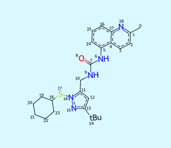 Cc1ccc2c(NC(=O)NCc3cc(C(C)(C)C)nn3SC3CCCCC3)cccc2n1